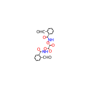 O=Cc1ccccc1C(=O)NOC(=O)C(=O)ONC(=O)c1ccccc1C=O